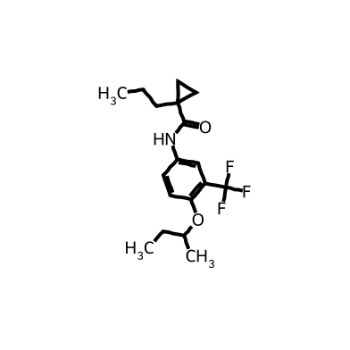 CCCC1(C(=O)Nc2ccc(OC(C)CC)c(C(F)(F)F)c2)CC1